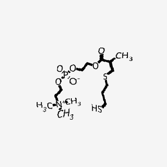 CC(CSCCCS)C(=O)OCCOP(=O)([O-])OCC[N+](C)(C)C